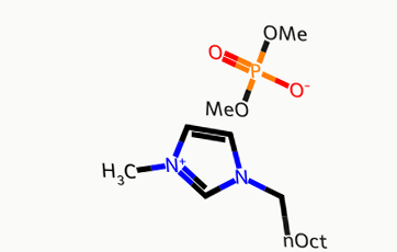 CCCCCCCCCn1cc[n+](C)c1.COP(=O)([O-])OC